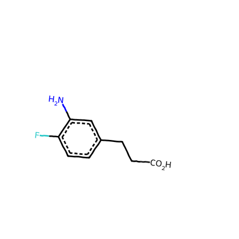 Nc1cc(CCC(=O)O)ccc1F